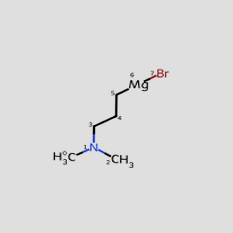 CN(C)CC[CH2][Mg][Br]